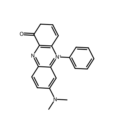 CN(C)c1ccc2nc3c([n+](-c4ccccc4)c2c1)C=CCC3=O